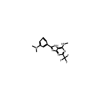 CNc1nc(C(F)(F)F)nc2nc(-c3cccc(N(C)C)c3)[nH]c12